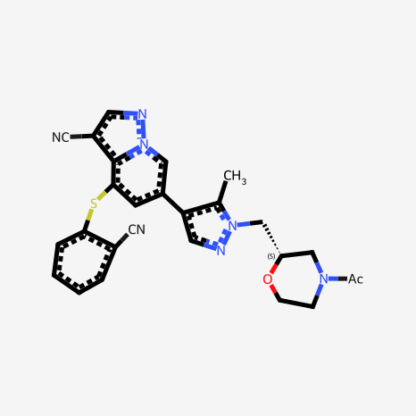 CC(=O)N1CCO[C@H](Cn2ncc(-c3cc(Sc4ccccc4C#N)c4c(C#N)cnn4c3)c2C)C1